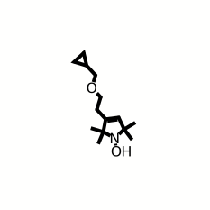 CC1(C)C=C(CCOCC2CC2)C(C)(C)N1O